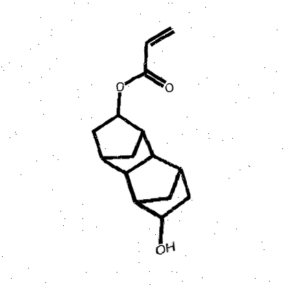 C=CC(=O)OC1CC2CC1C1C3CC(O)C(C3)C21